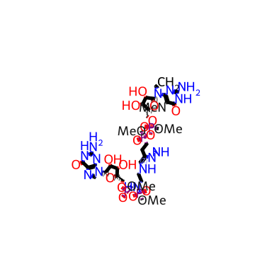 C=CN(c1nc(N)[nH]c(=O)c1NC)[C@@H]1O[C@H](COP(=O)(OC)OP(=O)(CC/C(=C/NCCNP(=O)(OC)OP(=O)(OC)OC[C@H]2O[C@@H](n3cnc4c(=O)[nH]c(N)nc43)C(O)C2O)N=N)OC)C(O)C1O